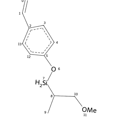 C=Cc1ccc(O[SiH2]C(C)COC)cc1